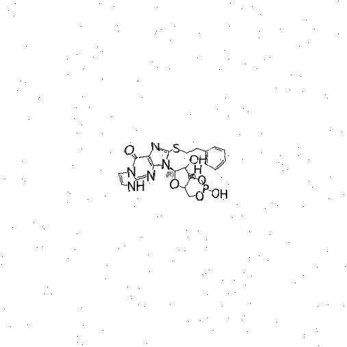 O=c1c2nc(SCCc3ccccc3)n([C@@H]3OC4COP(O)O[C@H]4C3O)c2nc2[nH]ccn12